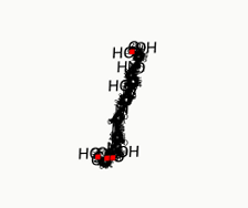 Cc1cc(N=Nc2cc(C)c(N=Nc3ccc4cc(NC(=O)c5ccc(O)c(C(=O)O)c5)ccc4c3O)cc2C)ccc1N=Nc1ccc(N=Nc2cc3c(S(=O)(=O)O)cccc3cc2S(=O)(=O)O)c(C)c1